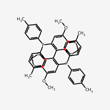 COc1cc(P(c2ccc(C)cc2)c2ccc(C)cc2)c(-c2c(P(c3ccc(C)cc3)c3ccc(C)cc3)cc(OC)c3c2OCO3)c2c1OCO2